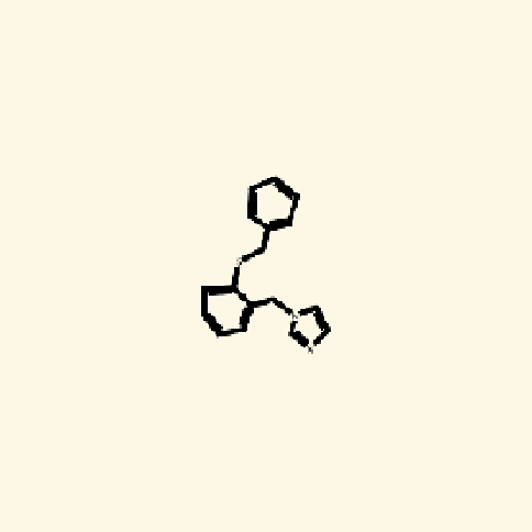 c1ccc(CSc2ccccc2Cn2ccnc2)cc1